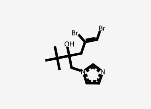 CC(C)(C)C(O)(C/C(Br)=C/Br)Cn1ccnc1